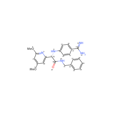 COc1cc(OC)nc([C@H](Nc2ccc(C(=N)N)cc2)C(=O)NCc2ccccc2)c1